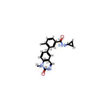 Cc1ccc(C(=O)NC2CC2)cc1-c1ccc2c(cnc(=O)n2C)c1